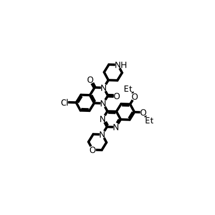 CCOc1cc2nc(N3CCOCC3)nc(-n3c(=O)n(C4CCNCC4)c(=O)c4cc(Cl)ccc43)c2cc1OCC